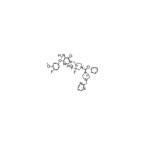 COc1cc(Oc2ncn(C[C@@]3(O)CCN(C(=O)[C@@H]4CCN(Cc5ncccn5)C[C@H]4c4ccccc4)CC3(F)F)c(=O)c2N)ccc1F